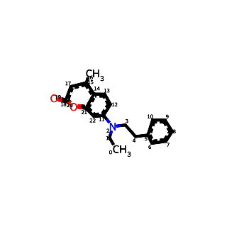 CCN(CCc1ccccc1)c1ccc2c(C)cc(=O)oc2c1